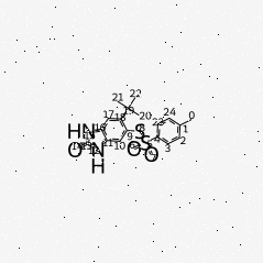 Cc1ccc(S(=O)(=O)Sc2cc3[nH]c(=O)[nH]c3cc2C(C)(C)C)cc1